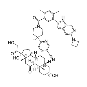 C[C@]12CC[C@@H](O)C[C@H]1CC[C@@H]1[C@@H]2C(=O)C[C@@]2(C)[C@H]1CC[C@]2(O)C(=O)CO.Cc1cc(C)c(-c2nc3cc(N4CCC4)ncc3[nH]2)cc1C(=O)N1CCC(F)(c2ccc(C#N)cn2)CC1